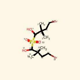 CC(C)(CCBr)C(O)S(=O)(=O)C(O)C(C)(C)CCBr